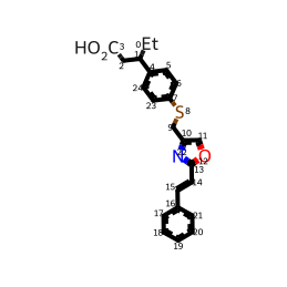 CCC(CC(=O)O)c1ccc(SCc2coc(C=Cc3ccccc3)n2)cc1